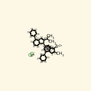 CC1=C2c3c(cc(C4C(C(C)C)=Cc5c(-c6ccccc6)cccc54)c(c3-c3ccccc3)[Si]2(C)C)[CH]1[Zr+2].[Cl-].[Cl-]